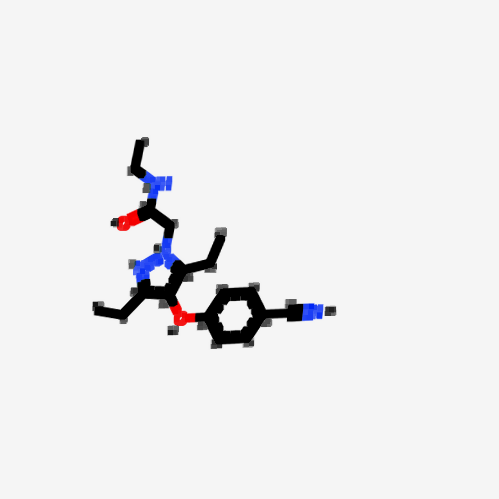 CCNC(=O)Cn1nc(CC)c(Oc2ccc(C#N)cc2)c1CC